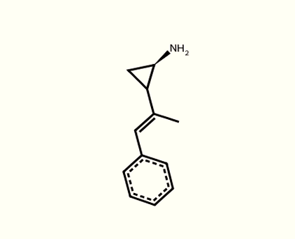 C/C(=C\c1ccccc1)C1C[C@H]1N